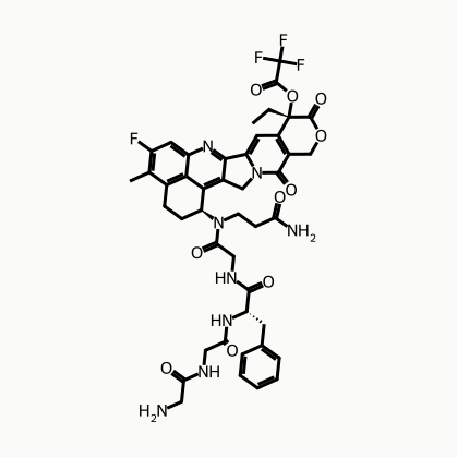 CC[C@@]1(OC(=O)C(F)(F)F)C(=O)OCc2c1cc1n(c2=O)Cc2c-1nc1cc(F)c(C)c3c1c2[C@@H](N(CCC(N)=O)C(=O)CNC(=O)[C@H](Cc1ccccc1)NC(=O)CNC(=O)CN)CC3